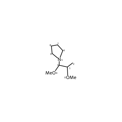 COC(C)C(OC)N1CCCC1